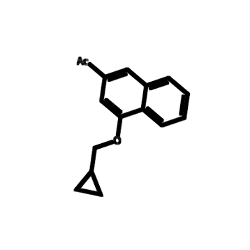 CC(=O)c1cc(OCC2CC2)c2ccccc2c1